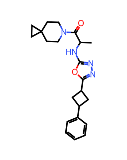 CC(Nc1nnc(C2CC(c3ccccc3)C2)o1)C(=O)N1CCC2(CC1)CC2